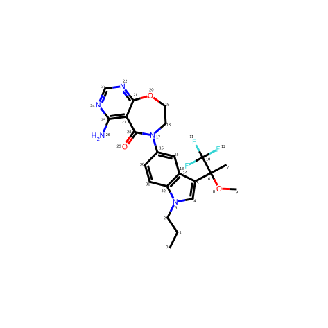 CCCn1cc(C(C)(OC)C(F)(F)F)c2cc(N3CCOc4ncnc(N)c4C3=O)ccc21